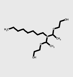 CCCCCCCCN(C(C)OCCO)C(C)OCCO